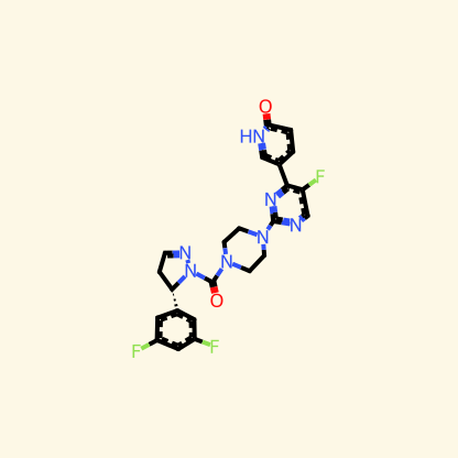 O=C(N1CCN(c2ncc(F)c(-c3ccc(=O)[nH]c3)n2)CC1)N1N=CC[C@H]1c1cc(F)cc(F)c1